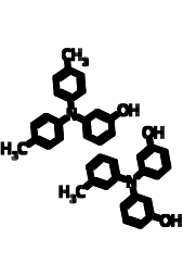 Cc1ccc(N(c2ccc(C)cc2)c2cccc(O)c2)cc1.Cc1cccc(N(c2cccc(O)c2)c2cccc(O)c2)c1